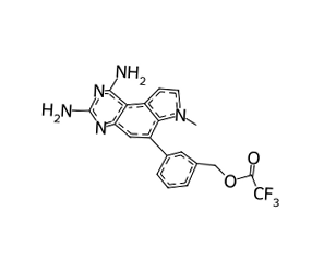 Cn1ccc2c3c(N)nc(N)nc3cc(-c3cccc(COC(=O)C(F)(F)F)c3)c21